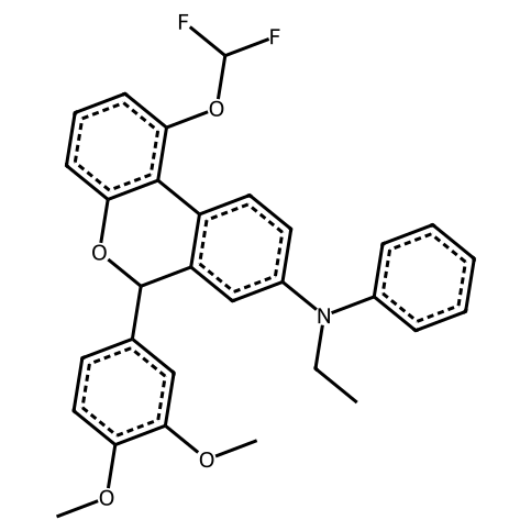 CCN(c1ccccc1)c1ccc2c(c1)C(c1ccc(OC)c(OC)c1)Oc1cccc(OC(F)F)c1-2